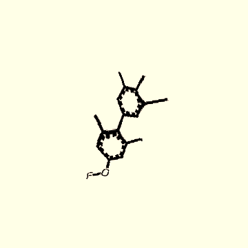 Cc1cc(-c2c(C)cc(OF)cc2C)cc(C)c1C